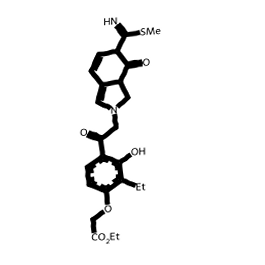 CCOC(=O)COc1ccc(C(=O)CN2C=C3C=CC(C(=N)SC)C(=O)C3C2)c(O)c1CC